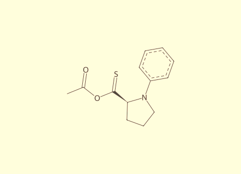 CC(=O)OC(=S)[C@@H]1CCCN1c1ccccc1